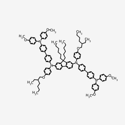 CCCCCCC1(CCCCCC)c2cc(N(c3ccc(OCC(CC)CCCC)cc3)c3ccc(-c4ccc(N(c5ccc(OC)cc5)c5ccc(OC)cc5)cc4)cc3)ccc2-c2ccc(N(c3ccc(OCC(CC)CCCC)cc3)c3ccc(-c4ccc(N(c5ccc(OC)cc5)c5ccc(OC)cc5)cc4)cc3)cc21